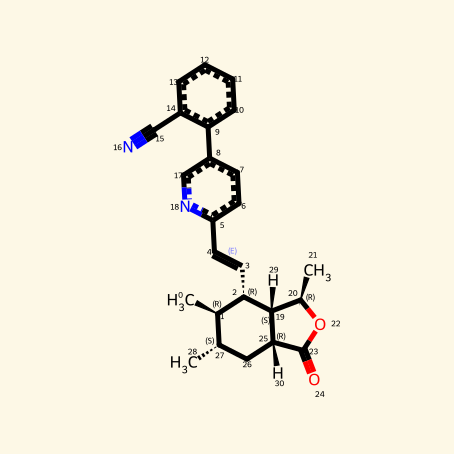 C[C@H]1[C@H](/C=C/c2ccc(-c3ccccc3C#N)cn2)[C@@H]2[C@@H](C)OC(=O)[C@@H]2C[C@@H]1C